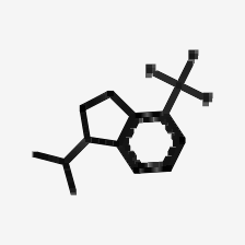 CC(C)C1CCc2c1cccc2C(F)(F)F